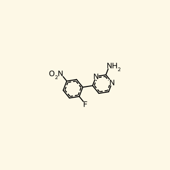 Nc1nccc(-c2cc([N+](=O)[O-])ccc2F)n1